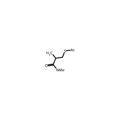 C[N]C(=O)C(C)CSC(C)=O